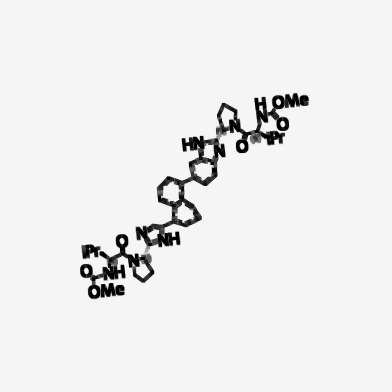 COC(=O)N[C@H](C(=O)N1CCC[C@H]1c1ncc(-c2cccc3c(-c4ccc5nc([C@@H]6CCCN6C(=O)[C@@H](NC(=O)OC)C(C)C)[nH]c5c4)cccc23)[nH]1)C(C)C